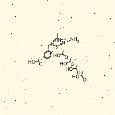 CC(=O)O.CC(=O)O.CC(=O)O.CC(=O)O.CC(=O)O.CC(CN(Cc1ccccc1)SC#N)NCCN